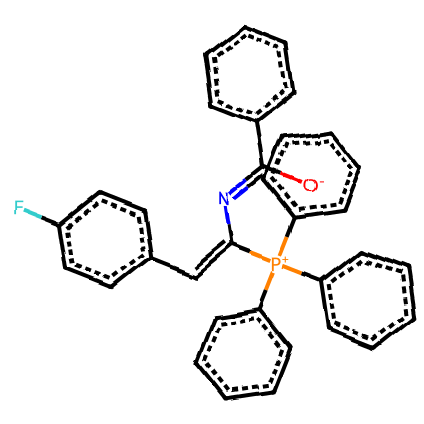 [O-]C(=NC(=Cc1ccc(F)cc1)[P+](c1ccccc1)(c1ccccc1)c1ccccc1)c1ccccc1